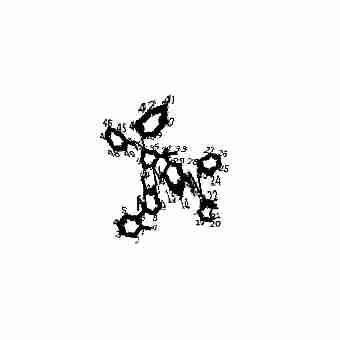 Cc1ccccc1-c1ccc(N2c3ccc(N(c4ccccc4)c4ccccc4)cc3C(C)(C)c3cc(N(c4ccccc4)c4ccccc4)ccc32)c(C)n1